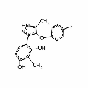 Cc1[nH]nc(-c2ccc(O)c(C)c2O)c1Oc1ccc(F)cc1